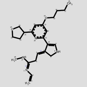 C=C/N=C(\C/C=C1\CNC=C1c1cc(OCCCC)cc(C2CCOC2)n1)NC